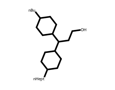 CCCCCCCC1CCC(C(CCO)C2CCC(CCCC)CC2)CC1